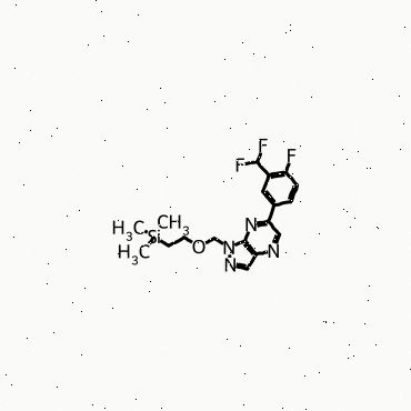 C[Si](C)(C)CCOCn1ncc2ncc(-c3ccc(F)c(C(F)F)c3)nc21